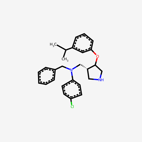 CC(C)c1cccc(OC2CNC[C@@H]2CN(Cc2ccccc2)c2ccc(Cl)cc2)c1